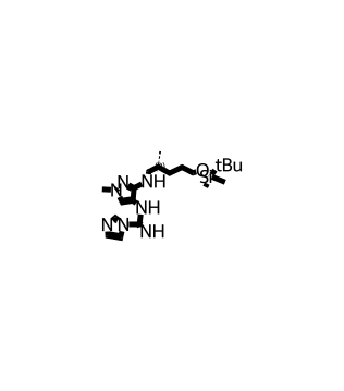 C[C@H](CCCO[Si](C)(C)C(C)(C)C)CNc1nn(C)cc1NC(=N)n1ccnc1